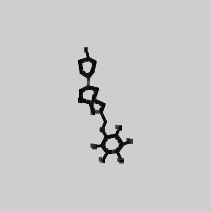 [2H]c1c([2H])c([2H])c(OCc2cn3cc(-c4ccc(F)cc4)cnc3n2)c([2H])c1[2H]